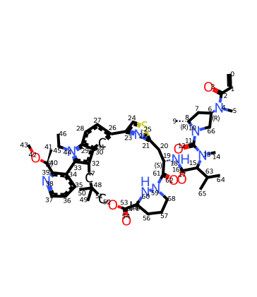 C=CC(=O)N(C)[C@@H]1C[C@@H](C)N(C(=O)N(C)C(C(=O)N[C@H]2Cc3nc(cs3)-c3ccc4c(c3)c(c(-c3cccnc3[C@H](C)OC)n4CC)CC(C)(C)COC(=O)[C@@H]3CCCN(N3)C2=O)C(C)C)C1